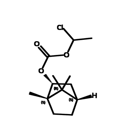 CC(Cl)OC(=O)O[C@@H]1C[C@@H]2CC[C@@]1(C)C2(C)C